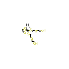 CC1(C(SCCSCCS)SCCSCCS)SCCS1